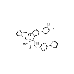 COC(=O)[C@H](Cc1ccc(-c2ccccc2)cc1)NC(=O)c1cc(-c2ccc(F)c(Cl)c2)ccc1OCc1ccccc1C(C)(C)C